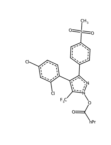 CCCC(=O)On1nc(-c2ccc(S(C)(=O)=O)cc2)c(-c2ccc(Cl)cc2Cl)c1C(F)(F)F